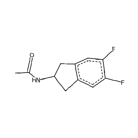 CC(=O)NC1Cc2cc(F)c(F)cc2C1